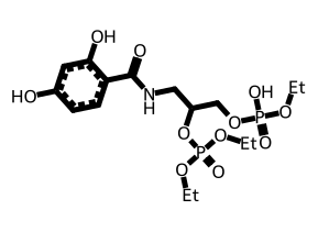 CCOP(=O)(O)OCC(CNC(=O)c1ccc(O)cc1O)OP(=O)(OCC)OCC